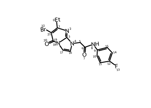 CCc1nc2n(CC(=O)Nc3ccc(F)cc3)ccn2c(=O)c1Br